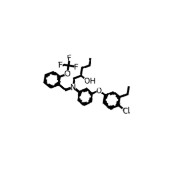 CCCC(O)CN(Cc1ccccc1OC(F)(F)F)c1cccc(Oc2ccc(Cl)c(CC)c2)c1